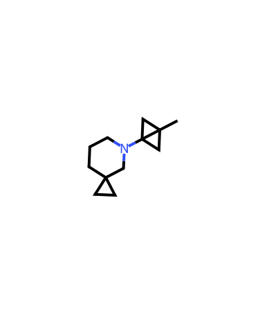 CC12CC1(N1CCCC3(CC3)C1)C2